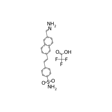 NN=Cc1ccc2cc(C=Cc3ccc(S(N)(=O)=O)cc3)ccc2c1.O=C(O)C(F)(F)F